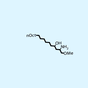 CCCCCCCCCCCCCC[C@@H](O)C[C@@H](N)COC